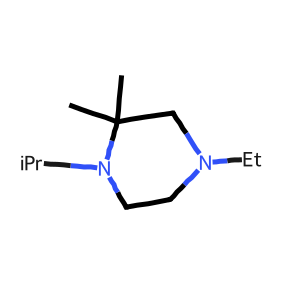 CCN1CCN(C(C)C)C(C)(C)C1